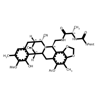 CCCCCC(=O)N[C@@H](C)C(=O)NC[C@H]1c2c(c(OC(C)=O)c(C)c3c2OCO3)CC2[C@@H]3c4c(cc(C)c(OC)c4O)C[C@H]([C@H](C#N)N21)N3C